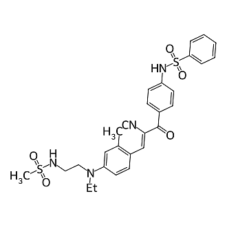 [C-]#[N+]C(=Cc1ccc(N(CC)CCNS(C)(=O)=O)cc1C)C(=O)c1ccc(NS(=O)(=O)c2ccccc2)cc1